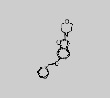 c1ccc(COc2ccc3nc(N4CCOCC4)oc3c2)cc1